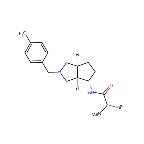 CCC[C@H](NC)C(=O)N[C@H]1CC[C@@H]2CN(Cc3ccc(C(F)(F)F)cc3)C[C@@H]21